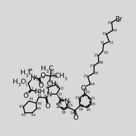 C[C@@H](C(=O)N[C@H](C(=O)N1CCC[C@H]1c1nc(C(=O)c2cccc(OCCCCCCCCCCCCBr)c2)cs1)C1CCCCC1)N(C)C(=O)OC(C)(C)C